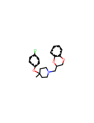 CC1(Oc2ccc(Cl)cc2)CCN(CC2COc3ccccc3O2)CC1